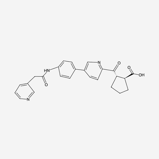 O=C(Cc1cccnc1)Nc1ccc(-c2ccc(C(=O)[C@H]3CCC[C@@H]3C(=O)O)nc2)cc1